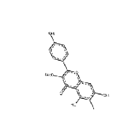 COc1c(-c2ccc(O)cc2)oc2cc(O)c(C)c(O)c2c1=O